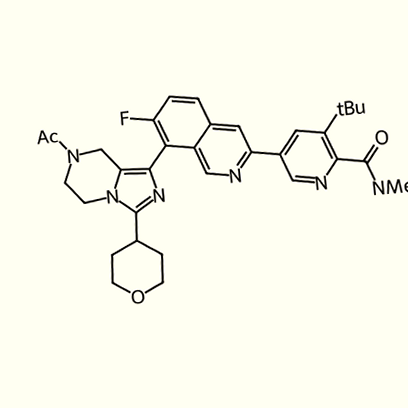 CNC(=O)c1ncc(-c2cc3ccc(F)c(-c4nc(C5CCOCC5)n5c4CN(C(C)=O)CC5)c3cn2)cc1C(C)(C)C